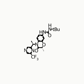 C[C@H](c1cncc(C(F)(F)F)n1)N1C(=O)[C@@H](C)Oc2cc(NC(=O)NC(C)(C)C)ccc21